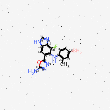 Bc1ccc(Nc2c(-c3nnc(N)o3)cc3[nH]cnc3c2F)c(C)c1